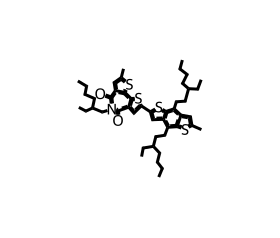 CCCCC(CC)CCc1c2cc(-c3cc4c(=O)n(CC(CC)CCCC)c(=O)c5cc(C)sc5c4s3)sc2c(CCC(CC)CCCC)c2cc(C)sc12